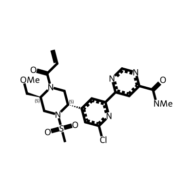 C=CC(=O)N1C[C@H](c2cc(Cl)nc(-c3cc(C(=O)NC)ncn3)c2)N(S(C)(=O)=O)C[C@H]1COC